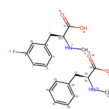 CN[C@@H](Cc1cccc(F)c1)C(=O)O.CN[C@@H](Cc1ccccc1)C(=O)O